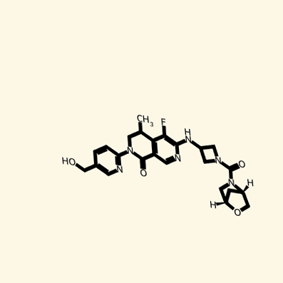 CC1CN(c2ccc(CO)cn2)C(=O)c2cnc(NC3CN(C(=O)N4C[C@@H]5C[C@H]4CO5)C3)c(F)c21